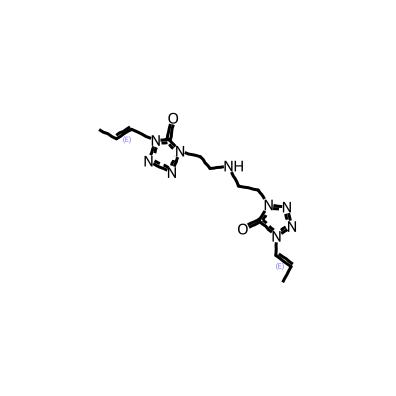 C/C=C/n1nnn(CCNCCn2nnn(/C=C/C)c2=O)c1=O